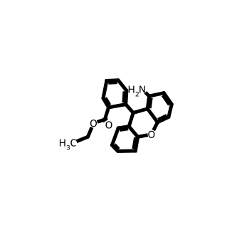 CCOC(=O)c1ccccc1C1c2ccccc2Oc2cccc(N)c21